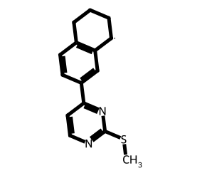 CSc1nccc(-c2ccc3c(c2)[CH]CCC3)n1